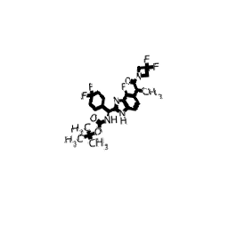 CC(C(=O)N1CC(F)(F)C1)c1ccc2[nH]c([C@@H](NC(=O)OC(C)(C)C)C3CCC(F)(F)CC3)nc2c1F